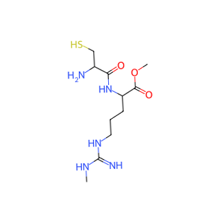 CNC(=N)NCCCC(NC(=O)C(N)CS)C(=O)OC